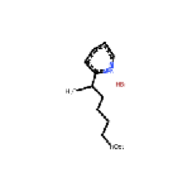 Br.CCCCCCCCCCCCC(C)c1ccccn1